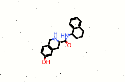 O=C(NC1CCCc2ccccc21)C1Cc2cc(O)ccc2CN1